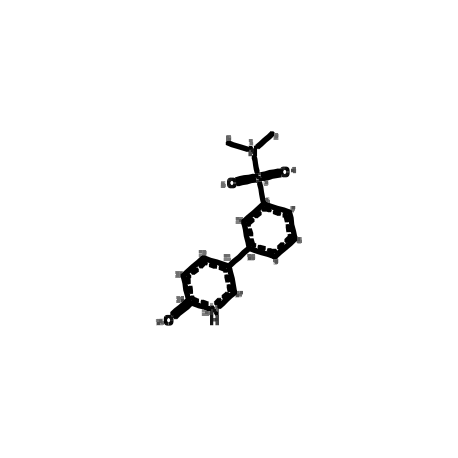 CN(C)S(=O)(=O)c1cccc(-c2ccc(=O)[nH]c2)c1